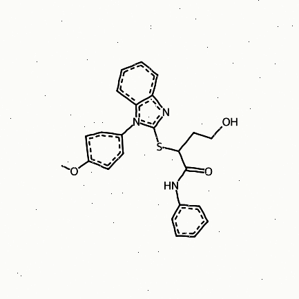 COc1ccc(-n2c(SC(CCO)C(=O)Nc3ccccc3)nc3ccccc32)cc1